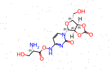 N[C@@H](CO)C(=O)ONc1ccn([C@@H]2O[C@H](CO)[C@H]3OC(=O)O[C@H]32)c(=O)n1